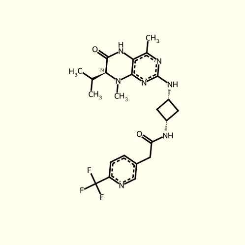 Cc1nc(N[C@H]2C[C@@H](NC(=O)Cc3ccc(C(F)(F)F)nc3)C2)nc2c1NC(=O)[C@H](C(C)C)N2C